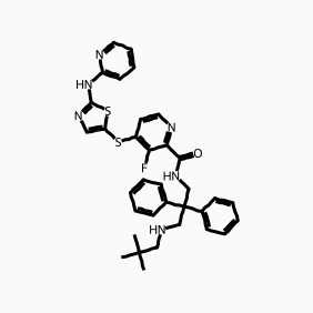 CC(C)(C)CNCC(CNC(=O)c1nccc(Sc2cnc(Nc3ccccn3)s2)c1F)(c1ccccc1)c1ccccc1